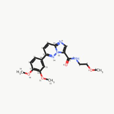 COCCNC(=O)c1cnc2ccc(-c3ccc(OC)c(OC)c3)nn12